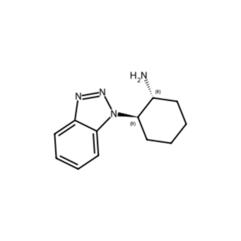 N[C@@H]1CCCC[C@H]1n1nnc2ccccc21